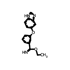 CCOC(=N)c1cccc(Oc2ccc3[nH]cnc3c2)c1